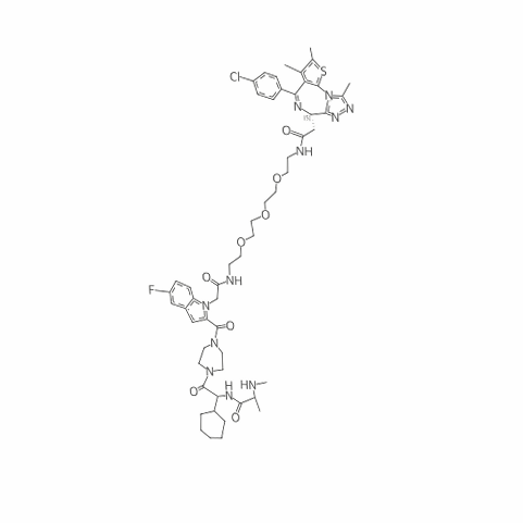 CNC(C)C(=O)NC(C(=O)N1CCN(C(=O)c2cc3cc(F)ccc3n2CC(=O)NCCOCCOCCOCCNC(=O)C[C@@H]2N=C(c3ccc(Cl)cc3)c3c(sc(C)c3C)-n3c(C)nnc32)CC1)C1CCCCC1